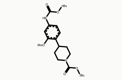 CCCCOC(=O)Bc1ccc(C2CCN(C(=O)OC(C)(C)C)CC2)c(OC)c1